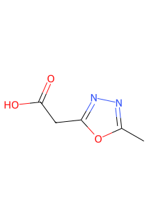 Cc1nnc(CC(=O)O)o1